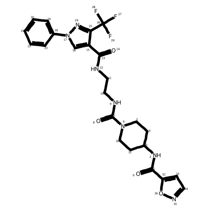 O=C(NC1CCN(C(=O)NCCNC(=O)c2cn(-c3ccccc3)nc2C(F)(F)F)CC1)c1ccno1